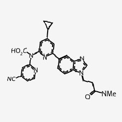 CNC(=O)CCn1cnc2cc(-c3cc(C4CC4)cc(N(C(=O)O)c4cc(C#N)ccn4)n3)ccc21